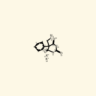 CCC1(c2ccccc2)C(=O)[N-]C(=O)[N-]C1=O.[K+].[K+]